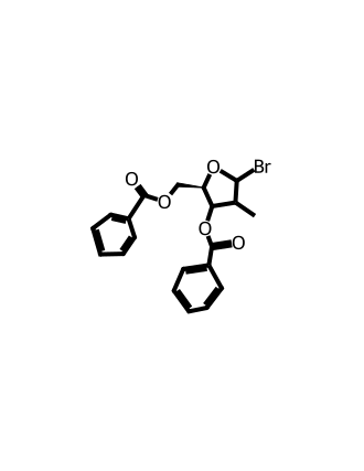 CC1C(Br)O[C@H](COC(=O)c2ccccc2)C1OC(=O)c1ccccc1